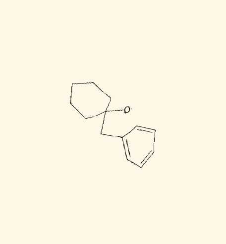 [O]C1(Cc2ccccc2)CCCCC1